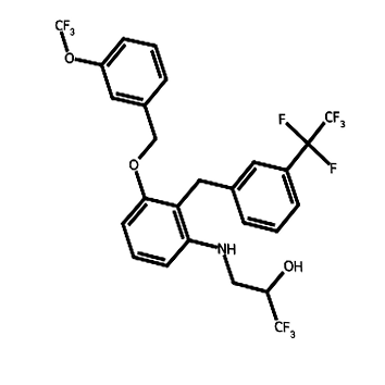 OC(CNc1cccc(OCc2cccc(OC(F)(F)F)c2)c1Cc1cccc(C(F)(F)C(F)(F)F)c1)C(F)(F)F